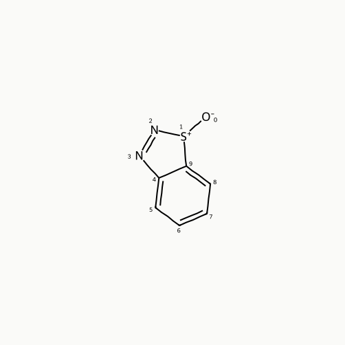 [O-][s+]1nnc2ccccc21